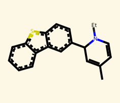 CCN1C=CC(C)=CC1c1ccc2sc3ccccc3c2c1